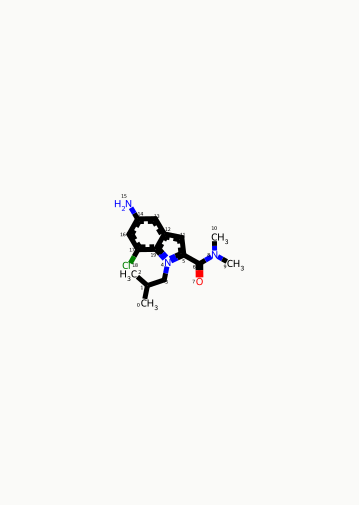 CC(C)Cn1c(C(=O)N(C)C)cc2cc(N)cc(Cl)c21